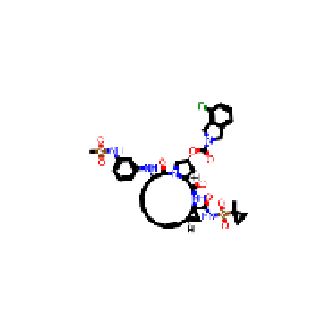 CC1(S(=O)(=O)NC(=O)[C@@]23C[C@H]2/C=C\CCCCC[C@H](Nc2cccc(NS(C)(=O)=O)c2)C(=O)N2C[C@H](OC(=O)N4Cc5cccc(F)c5C4)C[C@H]2C(=O)N3)CC1